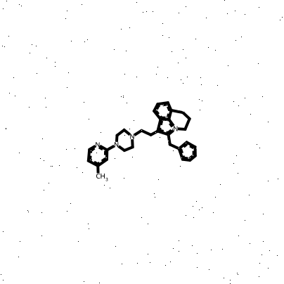 Cc1ccnc(N2CCN(CCc3c(Cc4ccccc4)n4c5c(cccc35)CCC4)CC2)c1